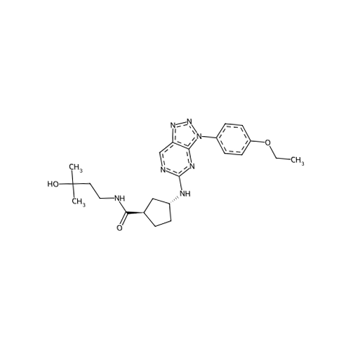 CCOc1ccc(-n2nnc3cnc(N[C@@H]4CC[C@@H](C(=O)NCCC(C)(C)O)C4)nc32)cc1